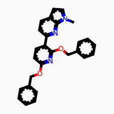 Cn1ccc2ccc(-c3ccc(OCc4ccccc4)nc3OCc3ccccc3)nc21